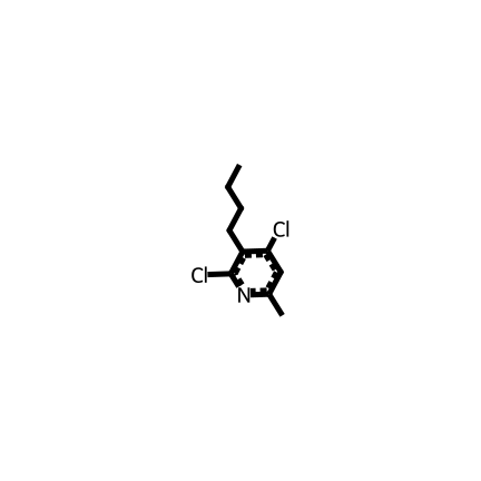 CCCCc1c(Cl)cc(C)nc1Cl